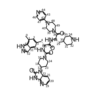 Cc1cc(C[C@@H](NC(=O)N2CCC(n3c(=O)[nH]c4ncccc43)CC2)C(=O)N[C@@H](CC2CCNCC2)C(=O)N2CCN(c3ccncc3)CC2)cc2cn[nH]c12